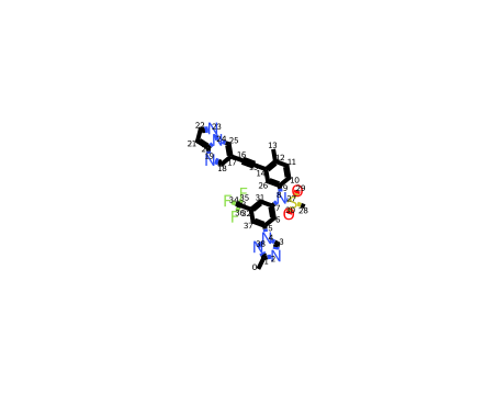 Cc1ncn(-c2cc(N(c3ccc(C)c(C#Cc4cnc5ccnn5c4)c3)S(C)(=O)=O)cc(C(F)(F)F)c2)n1